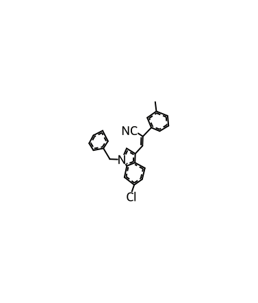 Cc1cccc(/C(C#N)=C/c2cn(Cc3ccccc3)c3cc(Cl)ccc23)c1